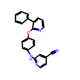 N#Cc1ccnc(Nc2ccc(Oc3ncccc3-c3ccccc3)cc2)c1